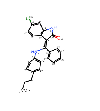 CNCCc1ccc(NC(=C2C(=O)Nc3cc(Cl)ccc32)c2ccccc2)cc1